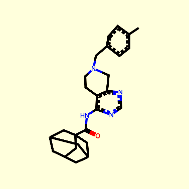 Cc1ccc(CN2CCc3c(ncnc3NC(=O)C34CC5CC(CC(C5)C3)C4)C2)cc1